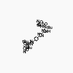 CN(C)C(=O)OC(C)(C(=O)N[C@H](c1nc(-c2cnc(-c3ccc(-c4c[nH]c([C@@H](NC(=O)[C@](C)(OC(=O)N(C)C)C(C)(C)C)C(C)(C)C)n4)cc3)cn2)c[nH]1)C(C)(C)C)C(C)(C)C